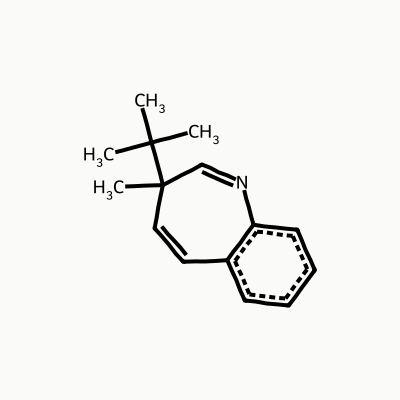 CC(C)(C)C1(C)C=Cc2ccccc2N=C1